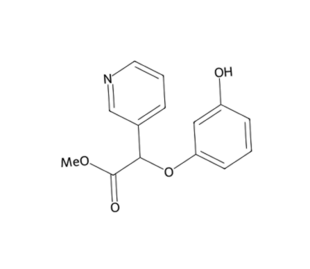 COC(=O)C(Oc1cccc(O)c1)c1cccnc1